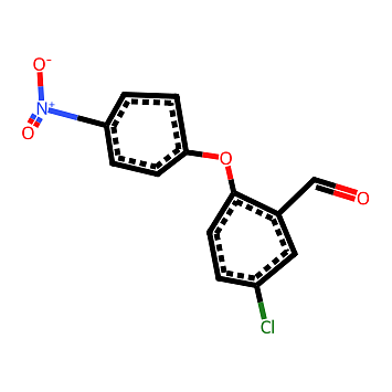 O=Cc1cc(Cl)ccc1Oc1ccc([N+](=O)[O-])cc1